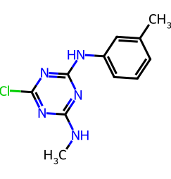 CNc1nc(Cl)nc(Nc2cccc(C)c2)n1